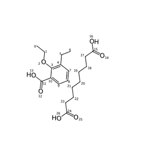 CCOc1c(CC)cccc1C(=O)O.O=C(O)CCCCCCCC(=O)O